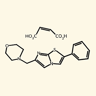 O=C(O)/C=C\C(=O)O.c1ccc(-c2cn3cc(CN4CCOCC4)nc3s2)cc1